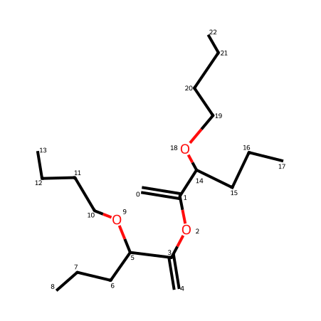 C=C(OC(=C)C(CCC)OCCCC)C(CCC)OCCCC